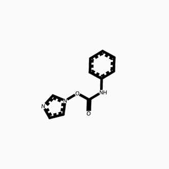 O=C(Nc1ccccc1)On1ccnc1